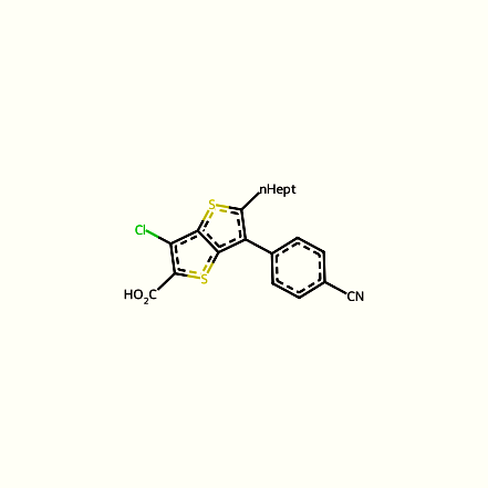 CCCCCCCc1sc2c(Cl)c(C(=O)O)sc2c1-c1ccc(C#N)cc1